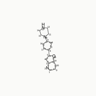 c1cnc2cc(-c3ccc(N4CCNCC4)cc3)oc2c1